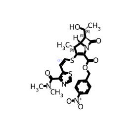 C[C@@H](O)[C@H]1C(=O)N2C(C(=O)OCc3ccc([N+](=O)[O-])cc3)=C(S/C=C\c3scnc3C(=O)N(C)C)[C@H](C)[C@H]12